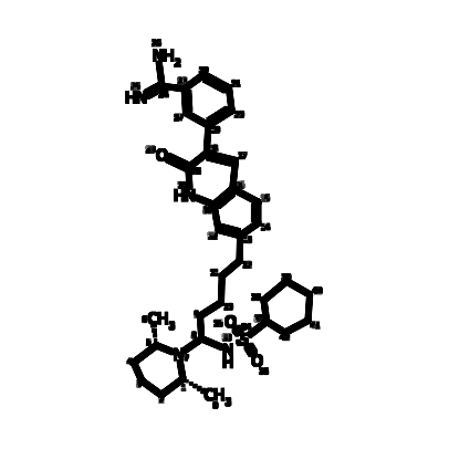 C[C@@H]1CCC[C@H](C)N1C(CCCCc1ccc2cc(-c3cccc(C(=N)N)c3)c(=O)[nH]c2c1)NS(=O)(=O)C1CCCCC1